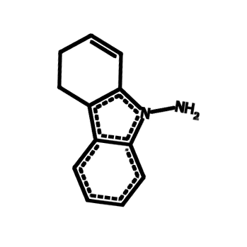 Nn1c2c(c3ccccc31)CCC=C2